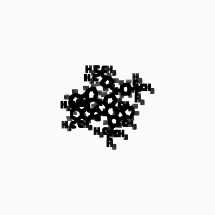 CC(C)(C)c1ccc(N(c2ccc(C(C)(C)C)cc2)c2cc3c4c(c2)N2c5c(cc(C(C)(C)C)cc5C5(C)CCCCC25C)B4c2sc4cc5c(cc4c2N3c2cccc3c2oc2ccccc23)C(C)(C)CCC5(C)C)cc1